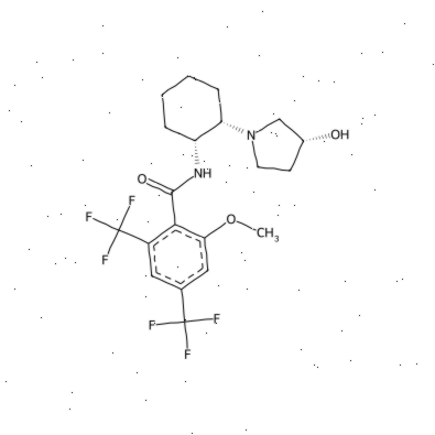 COc1cc(C(F)(F)F)cc(C(F)(F)F)c1C(=O)N[C@@H]1CCCC[C@@H]1N1CC[C@@H](O)C1